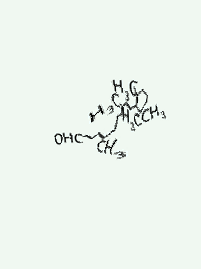 CC(C=CC=C(C)C=CC1=C(C)CCCC1(C)C)=CC=CC=O